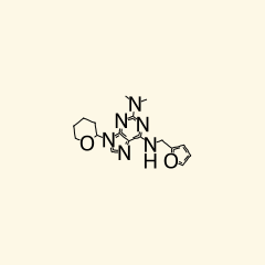 CN(C)c1nc(NCc2ccco2)c2ncn(C3CCCCO3)c2n1